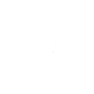 CCOC(=O)c1cccnc1NC1CCCC1